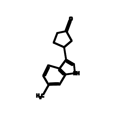 Cc1ccc2c(C3CCC(=O)C3)c[nH]c2c1